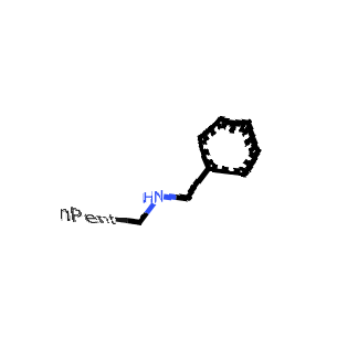 C[CH]CCCCNCc1ccccc1